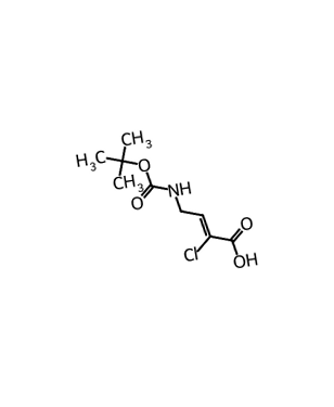 CC(C)(C)OC(=O)NC/C=C(\Cl)C(=O)O